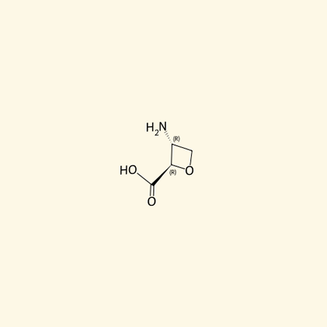 N[C@@H]1CO[C@H]1C(=O)O